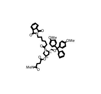 CNC(=O)CCC(=O)O[C@@H]1C[C@@H](COC(c2ccccc2)(c2ccc(OC)cc2)c2ccc(OC)cc2)N(C(=O)CCCCCN2C(=O)c3ccccc3C2=O)C1